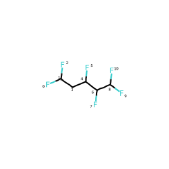 F[C](F)CC(F)C(F)C(F)F